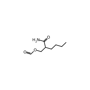 CCCCC(COC=O)C(N)=O